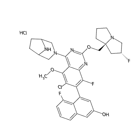 COc1c(Cl)c(-c2cc(O)cc3cccc(F)c23)c(F)c2nc(OC[C@@]34CCCN3C[C@H](F)C4)nc(N3CC4CCC(C3)N4)c12.Cl